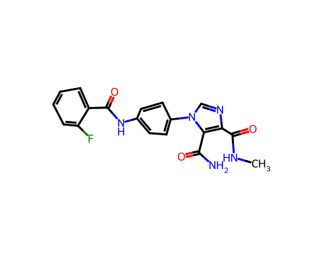 CNC(=O)c1ncn(-c2ccc(NC(=O)c3ccccc3F)cc2)c1C(N)=O